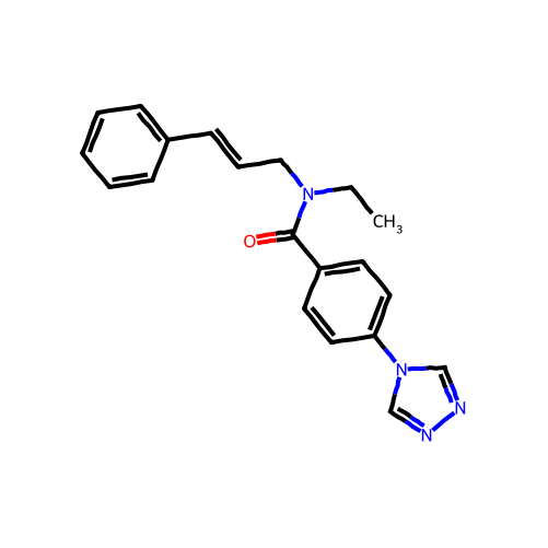 CCN(C/C=C/c1ccccc1)C(=O)c1ccc(-n2cnnc2)cc1